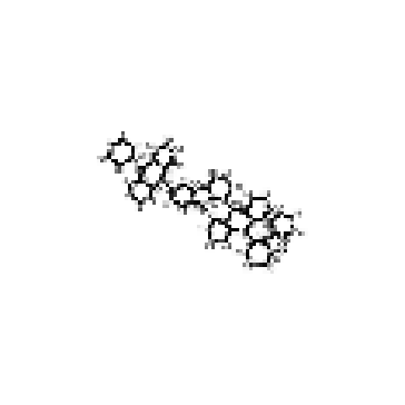 c1ccc(-c2c3ccccc3c(-c3ccc4sc5c(-c6c7ccccc7c(-c7cccc8oc9ccccc9c78)c7ccccc67)cccc5c4c3)c3ccccc23)cc1